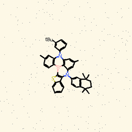 Cc1ccc2c(c1)N(c1cccc(C(C)(C)C)c1)c1cc(C)cc3c1B2c1sc2ccccc2c1N3c1ccc2c(c1)C(C)(C)CCC2(C)C